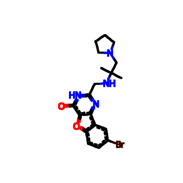 CC(C)(CN1CCCC1)NCc1nc2c(oc3ccc(Br)cc32)c(=O)[nH]1